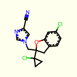 N#Cc1cn(CC2(C3(Cl)CC3)Cc3ccc(Cl)cc3O2)cn1